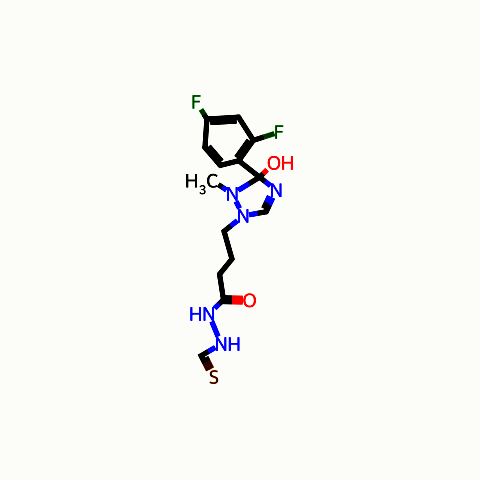 CN1N(CCCC(=O)NNC=S)C=NC1(O)c1ccc(F)cc1F